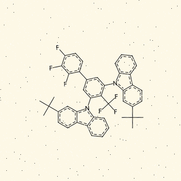 CC(C)(C)c1ccc2c3ccccc3n(-c3cc(-c4ccc(F)c(F)c4F)cc(-n4c5ccccc5c5ccc(C(C)(C)C)cc54)c3C(F)(F)F)c2c1